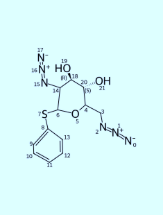 [N-]=[N+]=NCC1OC(Sc2ccccc2)C(N=[N+]=[N-])[C@@H](O)[C@@H]1O